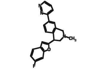 CN1Cc2cc(-c3cccnn3)ccc2C(c2cc3ccc(F)cc3o2)C1